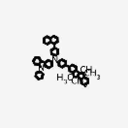 CC1(C)C2=C(c3ccccc31)C(C)(C)c1cc(-c3ccc(N(c4ccc(-c5cccc6ccccc56)cc4)c4ccc5c(c4)c4ccccc4n5-c4ccccc4)cc3)ccc12